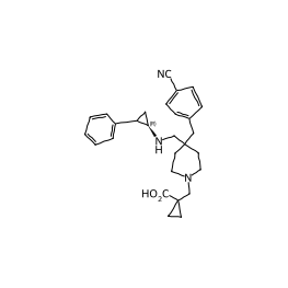 N#Cc1ccc(CC2(CN[C@@H]3CC3c3ccccc3)CCN(CC3(C(=O)O)CC3)CC2)cc1